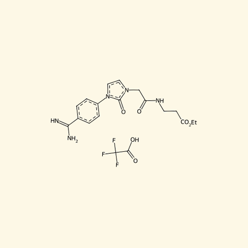 CCOC(=O)CCNC(=O)Cn1ccn(-c2ccc(C(=N)N)cc2)c1=O.O=C(O)C(F)(F)F